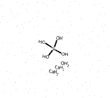 O.O[Si](O)(O)O.[CaH2].[CaH2]